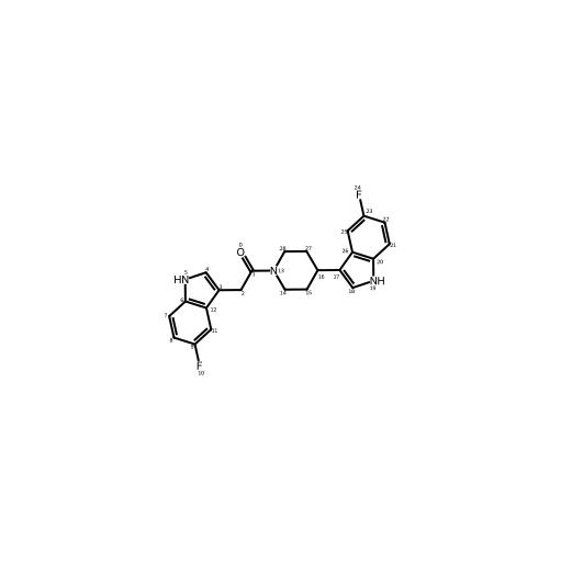 O=C(Cc1c[nH]c2ccc(F)cc12)N1CCC(c2c[nH]c3ccc(F)cc23)CC1